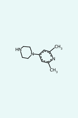 Cc1cc(N2CCNCC2)cc(C)n1